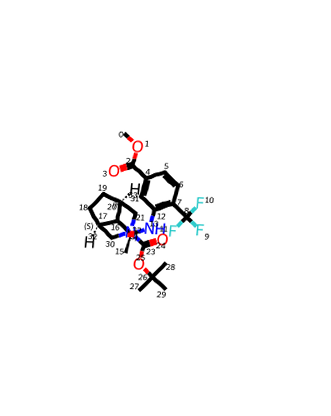 COC(=O)c1ccc(C(F)(F)F)c(N[C@@H](C)C2[C@@H]3CC[C@H]2CN(C(=O)OC(C)(C)C)C3)c1